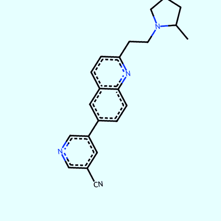 CC1CCCN1CCc1ccc2cc(-c3cncc(C#N)c3)ccc2n1